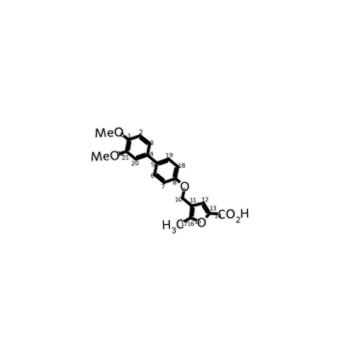 COc1ccc(-c2ccc(OCc3cc(C(=O)O)oc3C)cc2)cc1OC